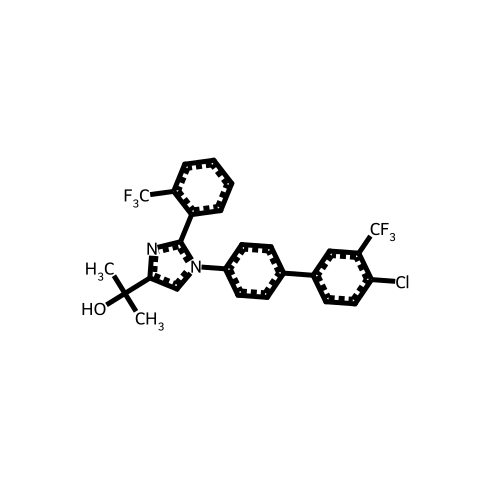 CC(C)(O)c1cn(-c2ccc(-c3ccc(Cl)c(C(F)(F)F)c3)cc2)c(-c2ccccc2C(F)(F)F)n1